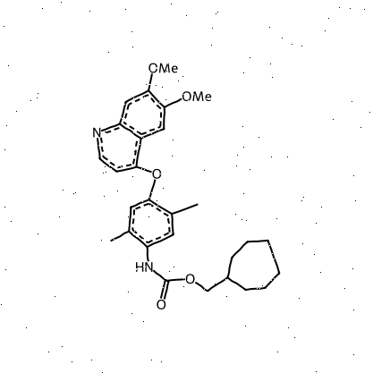 COc1cc2nccc(Oc3cc(C)c(NC(=O)OCC4CCCCCC4)cc3C)c2cc1OC